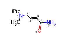 CC(C)N(C)CC=CC(N)=O